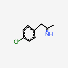 CC(=N)Cc1ccc(Cl)cc1